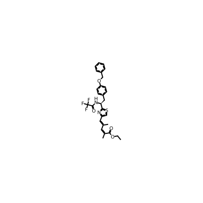 CCOC(=O)/C(C)=C\C(C)=C\c1csc([C@H](Cc2ccc(OCc3ccccc3)cc2)NC(=O)C(F)(F)F)n1